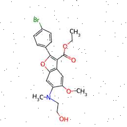 CCOC(=O)c1c(-c2ccc(Br)cc2)oc2cc(N(C)CCO)c(OC)cc12